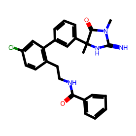 CN1C(=N)NC(C)(c2cccc(-c3cc(Cl)ccc3CCNC(=O)c3ccccc3)c2)C1=O